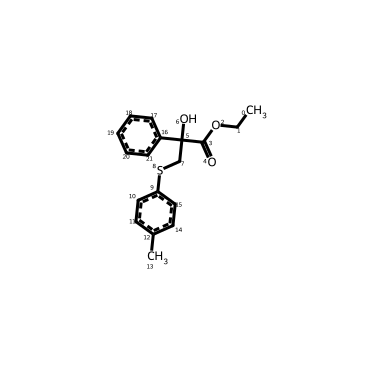 CCOC(=O)C(O)(CSc1ccc(C)cc1)c1ccccc1